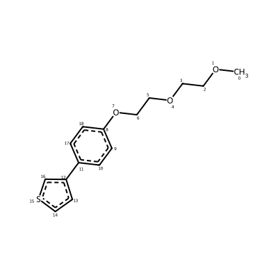 COCCOCCOc1ccc(-c2ccsc2)cc1